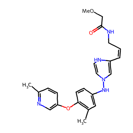 COCC(=O)NC/C=C\C1=CN(Nc2ccc(Oc3ccc(C)nc3)c(C)c2)C=CN1